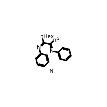 CCCCCCC(=Nc1ccccc1)C(CCC)=Nc1ccccc1.[Ni]